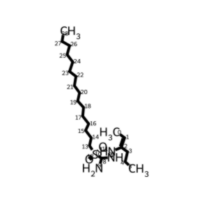 C/C=C(/CCC)NNC(N)S(=O)(=O)CCCCCCCCCCCCCCCC